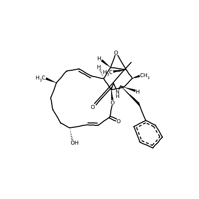 C[C@H]1C/C=C/[C@H]2[C@@H]3O[C@]3(C)[C@@H](C)[C@H]3[C@H](Cc4ccccc4)NC(=O)[C@]32OC(=O)/C=C/[C@H](O)CCC1